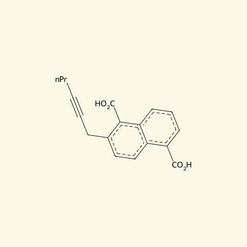 CCCC#CCc1ccc2c(C(=O)O)cccc2c1C(=O)O